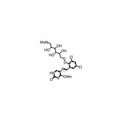 CNCC(O)C(O)C(O)C(O)COOc1c(Cl)cc(Cl)cc1/C=N/c1c[nH]c(=O)nc1OC